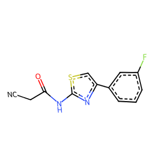 N#CCC(=O)Nc1nc(-c2cccc(F)c2)cs1